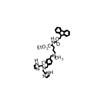 CCOC(=O)C(CCCN(C)Cc1ccc(CN(Cc2ncc[nH]2)[C@@H](C)c2ncc[nH]2)cc1)NC(=O)OCC1c2ccccc2-c2ccccc21